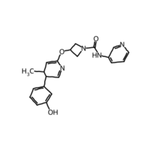 CC1C=C(OC2CN(C(=O)Nc3cccnc3)C2)N=CC1c1cccc(O)c1